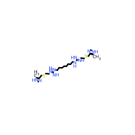 Cc1[nH]cnc1CSCCNC(=N)NCCCCCCCCNC(=N)NCCSCc1nc[nH]c1C